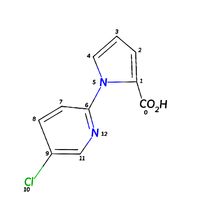 O=C(O)c1cccn1-c1ccc(Cl)cn1